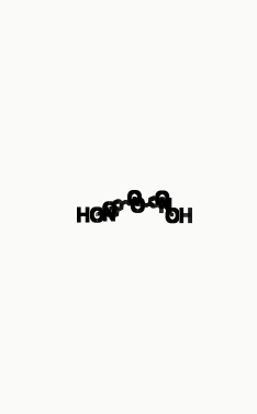 O=C(CCc1ccc2c(c1)CCN(CCO)O2)OCCc1ccc2c(c1)CN(CCO)CO2